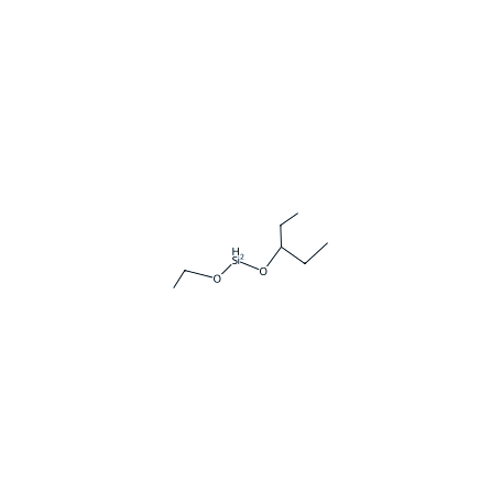 CCO[SiH2]OC(CC)CC